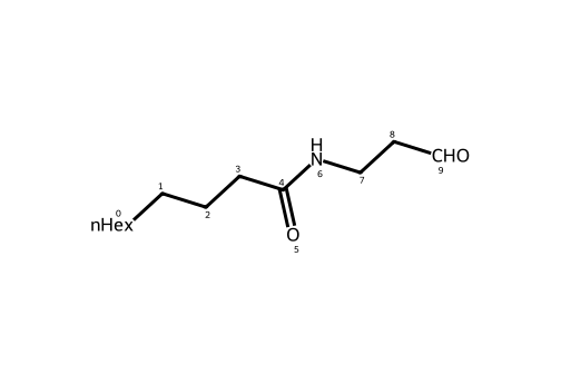 CCCCCCCCCC(=O)NCCC=O